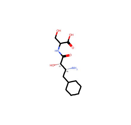 N[C@H](CC1CCCCC1)[C@H](O)C(=O)NC(CO)C(=O)O